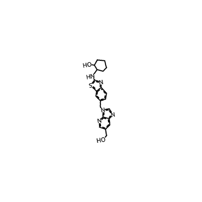 OCc1cnc2c(c1)ncn2Cc1ccc2nc(NC3CCCCC3O)sc2c1